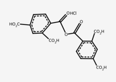 Cl.O=C(O)c1ccc(C(=O)OC(=O)c2ccc(C(=O)O)cc2C(=O)O)c(C(=O)O)c1